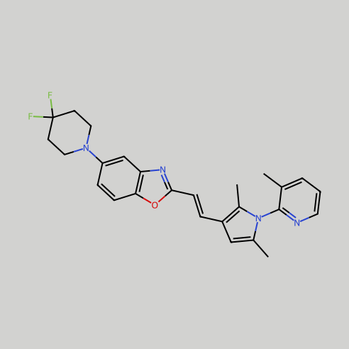 Cc1cccnc1-n1c(C)cc(/C=C/c2nc3cc(N4CCC(F)(F)CC4)ccc3o2)c1C